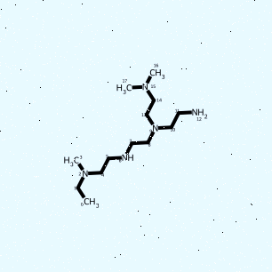 CCN(C)CCNCCN(CCN)CCN(C)C